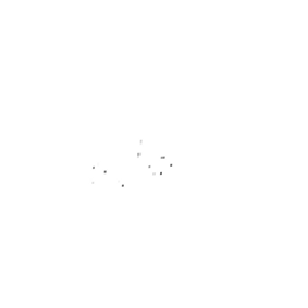 CCOC(=O)c1cnc(C)nc1C1CCN(Cc2ccccc2)CC1(F)F